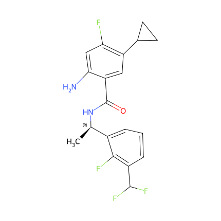 C[C@@H](NC(=O)c1cc(C2CC2)c(F)cc1N)c1cccc(C(F)F)c1F